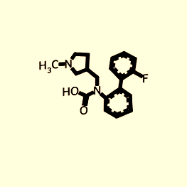 CN1CCC(CN(C(=O)O)c2ccccc2-c2ccccc2F)C1